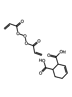 C=CC(=O)OOOC(=O)C=C.O=C(O)C1C=CCCC1C(=O)O